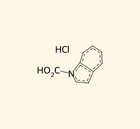 Cl.O=C(O)n1ccc2ccccc21